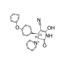 N#CC1=C(O)NC(=O)[C@H]([n+]2ccccc2)[C@H]1c1ccc(Oc2ccccc2)cc1